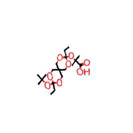 CCC1(OC(C)(C)C)OCC2(CO1)COC(CC)(OC(C)(C)C(=O)O)OC2